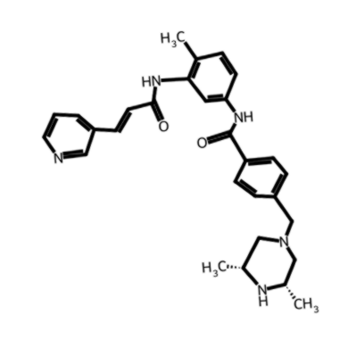 Cc1ccc(NC(=O)c2ccc(CN3C[C@@H](C)N[C@@H](C)C3)cc2)cc1NC(=O)/C=C/c1cccnc1